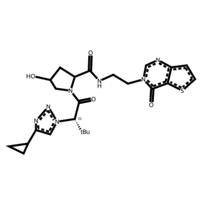 CC(C)(C)[C@@H](C(=O)N1CC(O)CC1C(=O)NCCn1cnc2ccsc2c1=O)n1cc(C2CC2)nn1